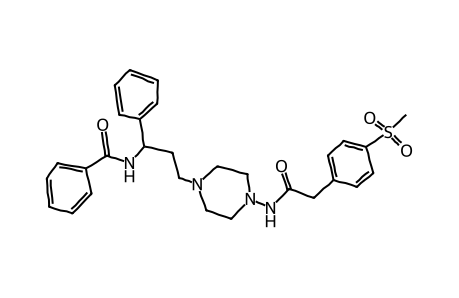 CS(=O)(=O)c1ccc(CC(=O)NN2CCN(CCC(NC(=O)c3ccccc3)c3ccccc3)CC2)cc1